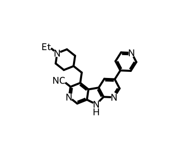 CCN1CCC(Cc2c(C#N)ncc3[nH]c4ncc(-c5ccncc5)cc4c23)CC1